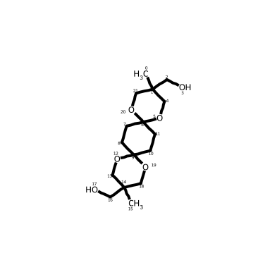 CC1(CO)COC2(CCC3(CC2)OCC(C)(CO)CO3)OC1